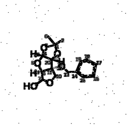 CC1(C)O[C@H]2O[C@@H]3C(O)OC[C@]3(OCc3ccccc3)[C@H]2O1